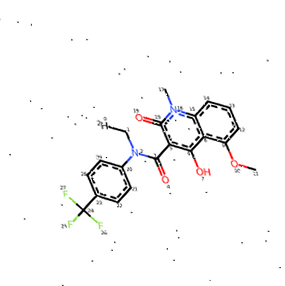 [2H]CN(C(=O)c1c(O)c2c(OC)cccc2n(C)c1=O)c1ccc(C(F)(F)F)cc1